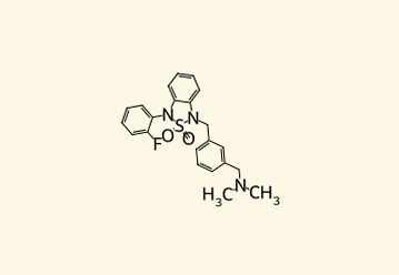 CN(C)Cc1cccc(CN2c3ccccc3N(c3ccccc3F)S2(=O)=O)c1